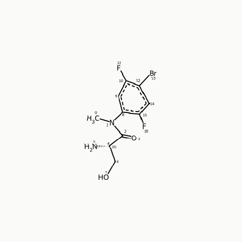 CN(C(=O)[C@@H](N)CO)c1cc(F)c(Br)cc1F